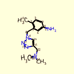 Cc1ccc(N)cc1Cn1cc(CN(C)C)nn1